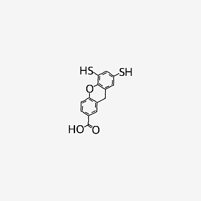 O=C(O)c1ccc2c(c1)Cc1cc(S)cc(S)c1O2